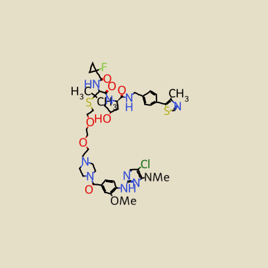 CNc1nc(Nc2ccc(C(=O)N3CCN(CCOCCOCCSC(C)(C)C(NC(=O)C4(F)CC4)C(=O)N4C[C@H](O)C[C@@H]4C(=O)NCc4ccc(-c5scnc5C)cc4)CC3)cc2OC)ncc1Cl